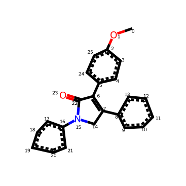 COc1ccc(C2=C(c3ccccc3)CN(c3ccccc3)C2=O)cc1